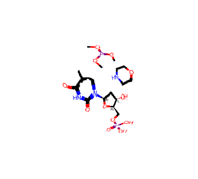 C1COCCN1.COP(OC)OC.Cc1cn([C@H]2C[C@H](O)[C@@H](COP(=O)(O)O)O2)c(=O)[nH]c1=O